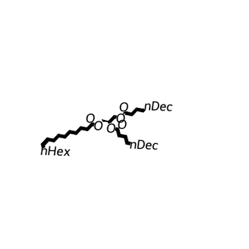 CCCCCC/C=C\CCCCCCCC(=O)OC[C@@H](COC(=O)CCCCCCCCCCCCC)OC(=O)CCCCCCCCCCCCC